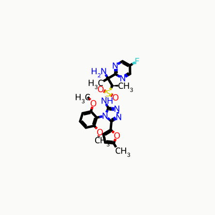 COc1cccc(OC)c1-n1c(NS(=O)(=O)[C@H](C)C(C)(N)c2ncc(F)cn2)nnc1-c1ccc(C)o1